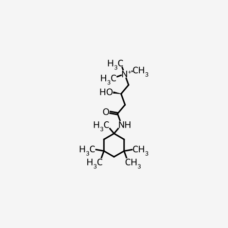 CC1(C)CC(C)(C)CC(C)(NC(=O)C[C@@H](O)C[N+](C)(C)C)C1